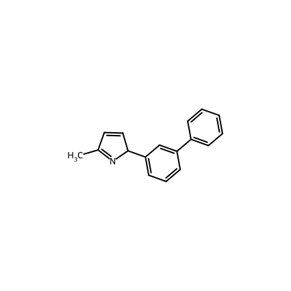 CC1=NC(c2cccc(-c3ccccc3)c2)C=C1